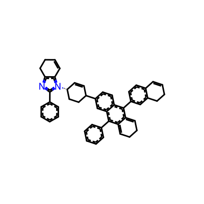 C1=Cc2ccc(-c3c4c(c(-c5ccccc5)c5cc(C6C=C[C@@H](n7c(-c8ccccc8)nc8c7C=CCC8)CC6)ccc35)=CCCC=4)cc2CC1